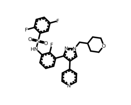 O=S(=O)(Nc1cccc(-c2nn(CC3CCOCC3)cc2-c2ccncc2)c1F)c1cc(F)ccc1F